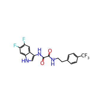 O=C(NCCc1ccc(C(F)(F)F)cc1)C(=O)Nc1c[nH]c2cc(F)c(F)cc12